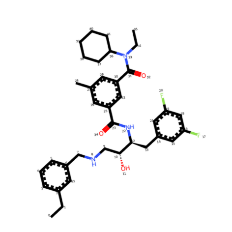 CCc1cccc(CNC[C@@H](O)[C@H](Cc2cc(F)cc(F)c2)NC(=O)c2cc(C)cc(C(=O)N(CC)C3CCCCC3)c2)c1